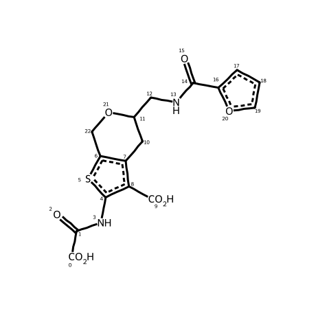 O=C(O)C(=O)Nc1sc2c(c1C(=O)O)CC(CNC(=O)c1ccco1)OC2